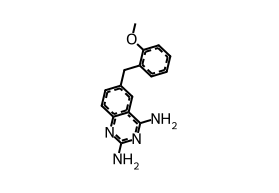 COc1ccccc1Cc1ccc2nc(N)nc(N)c2c1